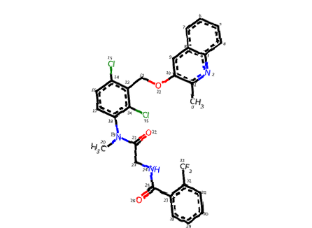 Cc1nc2ccccc2cc1OCc1c(Cl)ccc(N(C)C(=O)CNC(=O)c2ccccc2C(F)(F)F)c1Cl